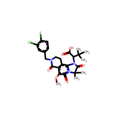 COc1c2c(c3n(c1=O)C(C)(C)C(=O)N3C(C(=O)O)C(C)(C)C)CCN(Cc1ccc(F)c(Cl)c1)C2=O